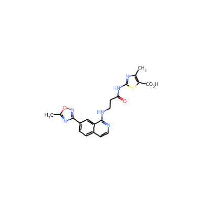 Cc1nc(-c2ccc3ccnc(NCCC(=O)Nc4nc(C)c(C(=O)O)s4)c3c2)no1